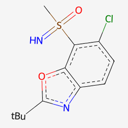 CC(C)(C)c1nc2ccc(Cl)c(S(C)(=N)=O)c2o1